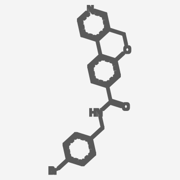 O=C(NCc1ccc(Br)cc1)c1ccc2c(c1)OCc1cnccc1-2